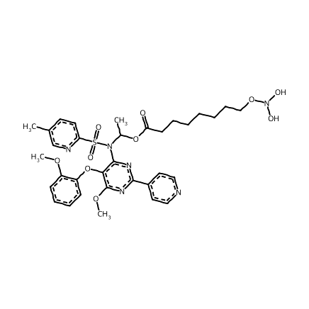 COc1ccccc1Oc1c(OC)nc(-c2ccncc2)nc1N(C(C)OC(=O)CCCCCCCON(O)O)S(=O)(=O)c1ccc(C)cn1